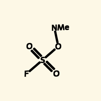 CNOS(=O)(=O)F